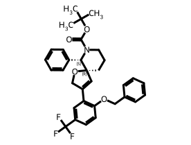 CC(C)(C)OC(=O)N1CCC[C@@]2(C=C(c3cc(C(F)(F)F)ccc3OCc3ccccc3)CO2)[C@@H]1c1ccccc1